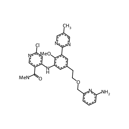 CNC(=O)c1cnc(Cl)cc1Nc1cc(CCOCc2cccc(N)n2)cc(-c2ncc(C)cn2)c1OC